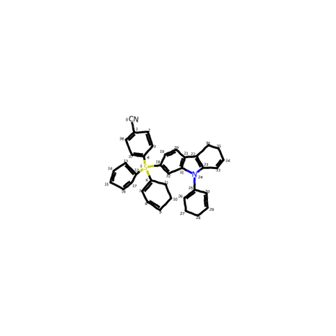 N#Cc1ccc(S(C2=CC=CCC2)(c2ccccc2)c2ccc3c4c(n(C5=CCCC=C5)c3c2)C=CCC4)cc1